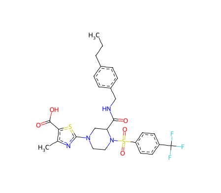 CCCc1ccc(CNC(=O)C2CN(c3nc(C)c(C(=O)O)s3)CCN2S(=O)(=O)c2ccc(C(F)(F)F)cc2)cc1